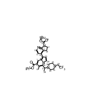 Cc1c(C(=O)OC(C)C)cc2c(-c3ccnc4c3CCN4C(=O)OC(C)(C)C)ccn2c1C(C)N1CCN(CC(F)(F)F)CC1